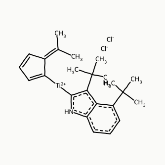 CC(C)=C1C=CC=[C]1[Ti+2][c]1[nH]c2cccc(C(C)(C)C)c2c1C(C)(C)C.[Cl-].[Cl-]